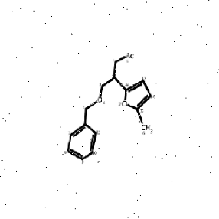 CC(=O)CC(COCc1ccccc1)c1ccc(C)o1